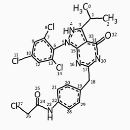 CC(C)c1[nH]n(-c2c(Cl)cc(Cl)cc2Cl)c2nc(Cc3ccc(NC(=O)CCl)cc3)nc(=O)c1-2